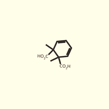 CC1(C(=O)O)C=CC=CC1(C)C(=O)O